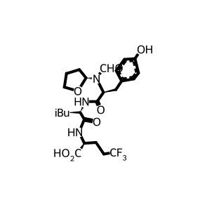 CC[C@H](C)[C@H](NC(=O)[C@H](Cc1ccc(O)cc1)N(C=O)[C@H]1CCCO1)C(=O)N[C@@H](CCC(F)(F)F)C(=O)O